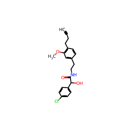 C#CCCc1ccc(CCNC(=O)C(O)c2ccc(Cl)cc2)cc1OC